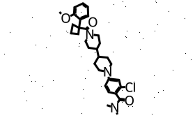 COc1ccccc1C1(C(=O)N2CCC(C3CCN(c4ccc(C(=O)N(C)C)c(Cl)c4)CC3)CC2)CCC1